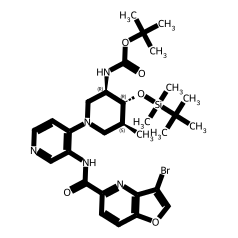 C[C@H]1CN(c2ccncc2NC(=O)c2ccc3occ(Br)c3n2)C[C@@H](NC(=O)OC(C)(C)C)[C@@H]1O[Si](C)(C)C(C)(C)C